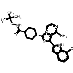 CC(C)(C)ONC(=O)[C@H]1CC[C@H](c2nc(-c3cc4cccc(Cl)c4[nH]3)c3c(N)nccn32)CC1